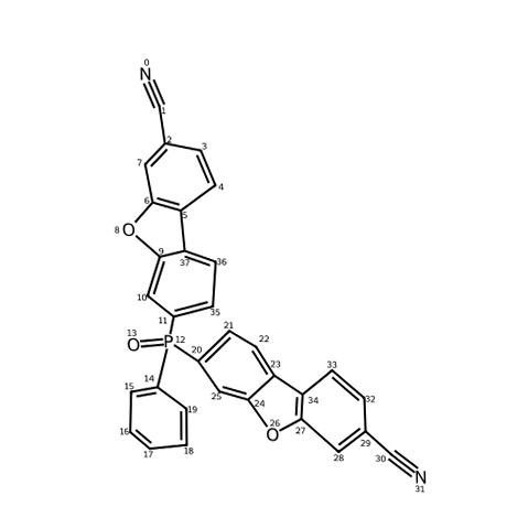 N#Cc1ccc2c(c1)oc1cc(P(=O)(c3ccccc3)c3ccc4c(c3)oc3cc(C#N)ccc34)ccc12